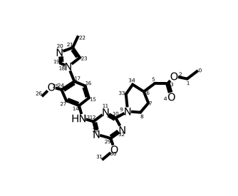 CCOC(=O)CC1CCN(c2nc(Nc3ccc(-n4cnc(C)c4)c(OC)c3)nc(OC)n2)CC1